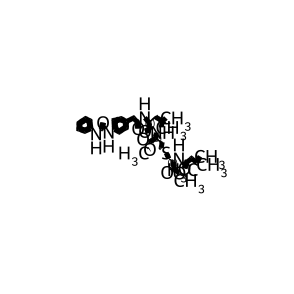 COC(=O)[C@H](CSCC[C@H](NC(=O)[C@H](CC(C)C)NC(=O)Cc1ccc(NC(=O)Nc2ccccc2)cc1)C(=O)OC)NC(=O)CC(C)(C)C